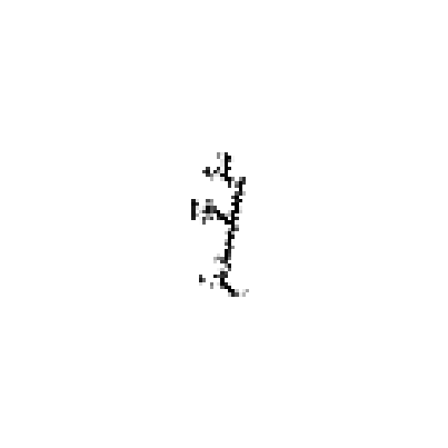 CC(C)CCCC(C)CCOC(=O)CCCCCCCC(CCCCCCCC(=O)OCCC(C)CCCC(C)C)CCCCN(C)C